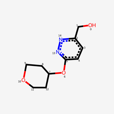 OCc1ccc(OC2CCOCC2)nn1